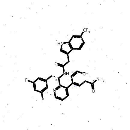 C/C=C\C(=C/CC(N)=O)c1cccnc1[C@H](Cc1cc(F)cc(F)c1)NC(=O)Cc1c[nH]c2cc(C(F)(F)F)ccc12